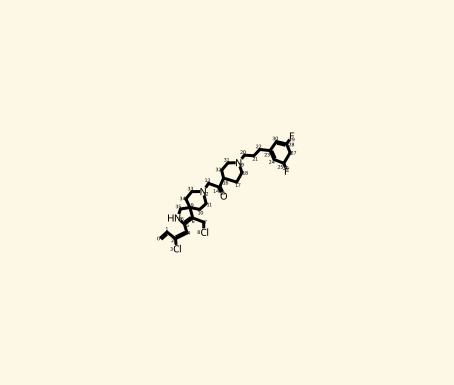 C=C/C(Cl)=C\C1=C(CCl)C2(CCN(CC(=O)C3CCN(CCCC4=CC(F)CC(F)=C4)CC3)CC2)CN1